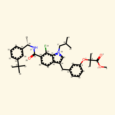 COC(=O)C(C)(C)Oc1cccc(Cc2cn(CC(C)C)c3c(F)c(C(=O)N[C@@H](C)c4cccc(C(C)(C)C)c4)ccc23)c1